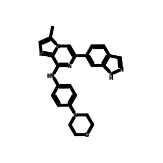 Cc1cnc2c(Nc3ccc(N4CCOCC4)cc3)nc(-c3ccc4cn[nH]c4c3)cn12